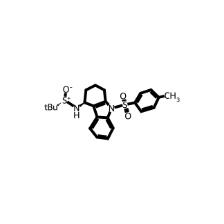 Cc1ccc(S(=O)(=O)n2c3c(c4ccccc42)[C@@H](N[S@@+]([O-])C(C)(C)C)CCC3)cc1